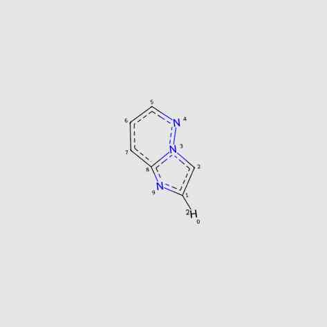 [2H]c1cn2ncccc2n1